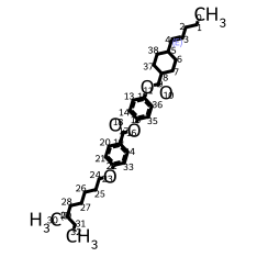 CCC/C=C/C1CCC(C(=O)Oc2ccc(OC(=O)c3ccc(OCCCCC[C@@H](C)CC)cc3)cc2)CC1